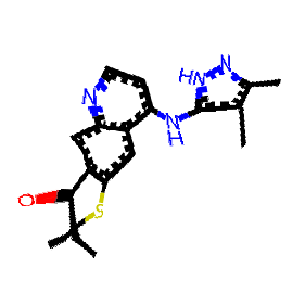 Cc1n[nH]c(Nc2ccnc3cc4c(cc23)SC(C)(C)C4=O)c1C